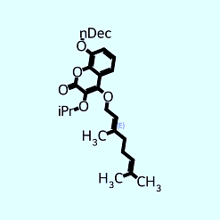 CCCCCCCCCCOc1cccc2c(OC/C=C(\C)CCC=C(C)C)c(OC(C)C)c(=O)oc12